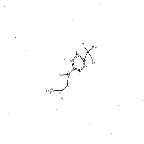 C[C@H](N)CN(C)c1cnc(C(F)(F)F)cn1